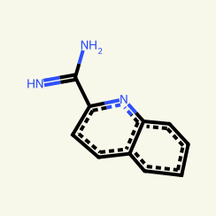 N=C(N)c1ccc2ccccc2n1